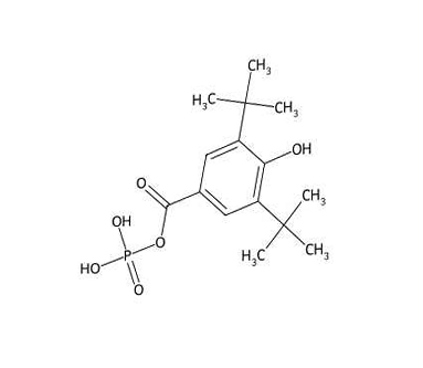 CC(C)(C)c1cc(C(=O)OP(=O)(O)O)cc(C(C)(C)C)c1O